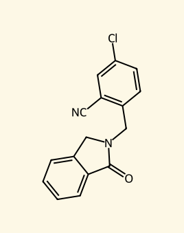 N#Cc1cc(Cl)ccc1CN1Cc2ccccc2C1=O